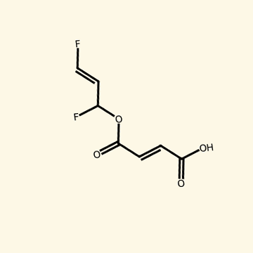 O=C(O)C=CC(=O)OC(F)C=CF